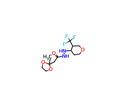 CC1(CC(=O)NNC2CCOCC2C(F)(F)F)OCCO1